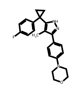 Cc1c(-c2ccc(N3CCOCC3)cc2)n[nH]c1C1(c2ccc(F)cc2)CC1